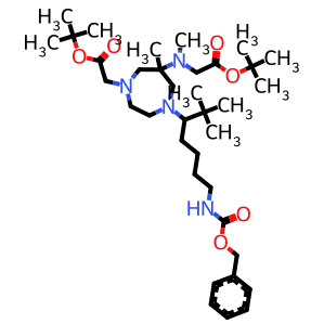 CN(CC(=O)OC(C)(C)C)C1(C)CN(CC(=O)OC(C)(C)C)CCN(C(CCCCNC(=O)OCc2ccccc2)C(C)(C)C)C1